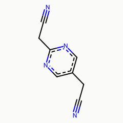 N#CCc1cnc(CC#N)nc1